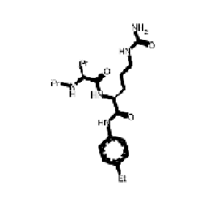 CCc1ccc(NC(=O)[C@H](CCCNC(N)=O)NC(=O)[C@@H](NC(C)C)C(C)C)cc1